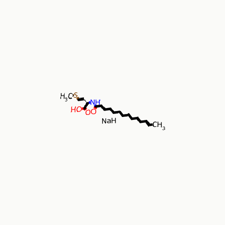 CCCCCCCCCCCCCC(=O)N[C@@H](CCSC)C(=O)O.[NaH]